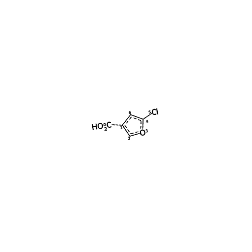 O=C(O)c1coc(Cl)c1